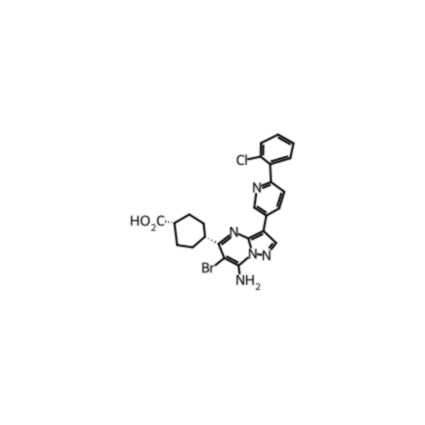 Nc1c(Br)c([C@H]2CC[C@@H](C(=O)O)CC2)nc2c(-c3ccc(-c4ccccc4Cl)nc3)cnn12